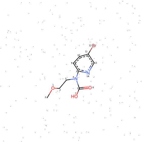 COCCN(C(=O)O)c1ccc(Br)cn1